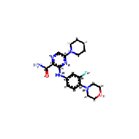 NC(=O)c1ncc(N2CCCCC2)nc1Nc1ccc(N2CCOCC2)c(F)c1